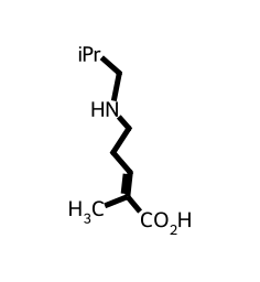 CC(=CCCNCC(C)C)C(=O)O